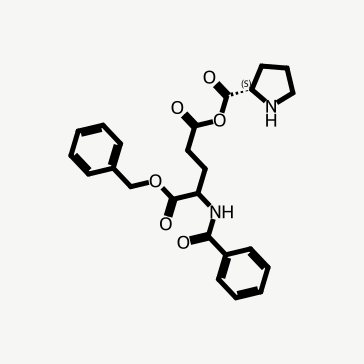 O=C(CCC(NC(=O)c1ccccc1)C(=O)OCc1ccccc1)OC(=O)[C@@H]1CCCN1